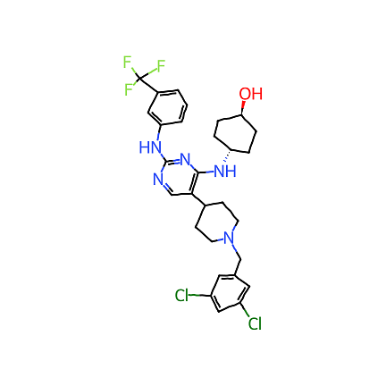 O[C@H]1CC[C@H](Nc2nc(Nc3cccc(C(F)(F)F)c3)ncc2C2CCN(Cc3cc(Cl)cc(Cl)c3)CC2)CC1